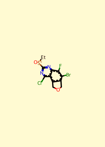 CC[S+]([O-])c1nc(Cl)c2c3c(c(Br)c(F)c2n1)COC3